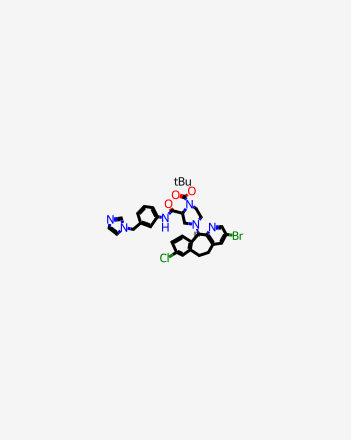 CC(C)(C)OC(=O)N1CCN([C@@H]2c3ccc(Cl)cc3CCc3cc(Br)cnc32)CC1C(=O)Nc1cccc(Cn2ccnc2)c1